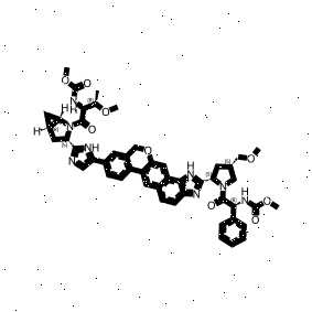 COC[C@H]1C[C@@H](c2nc3ccc4cc5c(cc4c3[nH]2)OCc2cc(-c3cnc([C@@H]4C[C@H]6C[C@H]6N4C(=O)C(NC(=O)OC)[C@@H](C)OC)[nH]3)ccc2-5)N(C(=O)[C@H](NC(=O)OC)c2ccccc2)C1